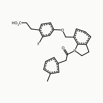 Cc1cccc(CC(=O)N2CCc3cccc(COc4ccc(CCC(=O)O)c(F)c4)c32)c1